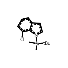 CC(C)(C)[Si](C)(C)n1ccc2cccc(Cl)c21